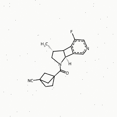 C[C@H]1CN(C(=O)C23CCC(C#N)(C2)C3)[C@@H]2c3cncc(F)c3C21